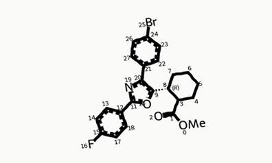 COC(=O)C1CCCC[C@H]1c1oc(-c2ccc(F)cc2)nc1-c1ccc(Br)cc1